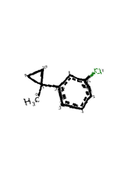 CC1(c2cccc(Cl)c2)CC1